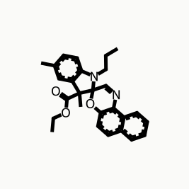 CCCN1c2ccc(C)cc2C(C)(C(=O)OCC)C12C=Nc1c(ccc3ccccc13)O2